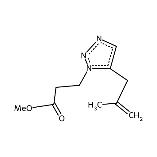 C=C(C)Cc1cnnn1CCC(=O)OC